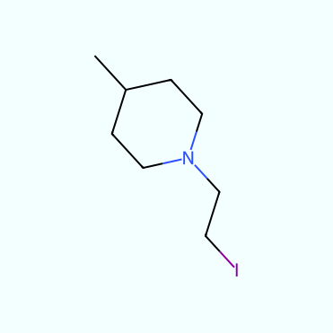 CC1CCN(CCI)CC1